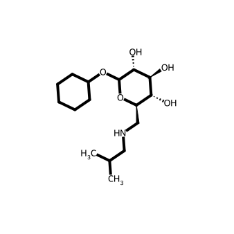 CC(C)CNC[C@H]1OC(OC2CCCCC2)[C@H](O)[C@@H](O)[C@@H]1O